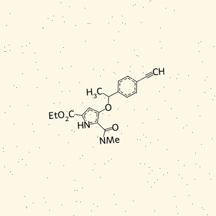 C#Cc1ccc(C(C)Oc2cc(C(=O)OCC)[nH]c2C(=O)NC)cc1